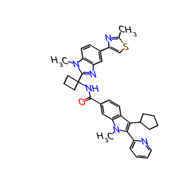 Cc1nc(-c2ccc3c(c2)nc(C2(NC(=O)c4ccc5c(C6CCCC6)c(-c6ccccn6)n(C)c5c4)CCC2)n3C)cs1